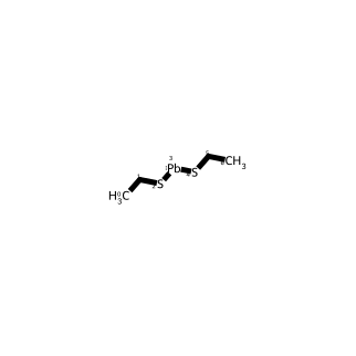 CC[S][Pb][S]CC